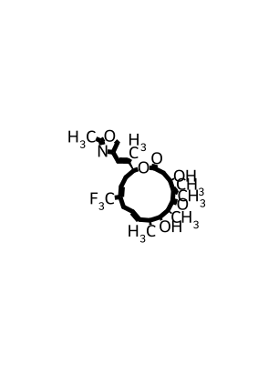 CC1=NC(/C=C(\C)[C@@H]2C/C=C(/C(F)(F)F)C/C=C/[C@H](C)[C@H](O)[C@@H](C)C(=O)C(C)(C)[C@@H](O)CC(=O)O2)CO1